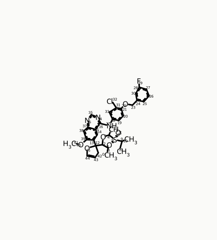 CCC(OC(C)S(=O)(=O)C(C)C)C1(c2cc3c(Nc4ccc(OCc5cccc(F)c5)c(Cl)c4)ncnc3cc2OC)CC=CO1